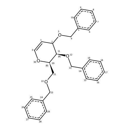 C1=CC(OCc2ccccc2)[C@@H](OCc2ccccc2)[C@@H](COCc2ccccc2)O1